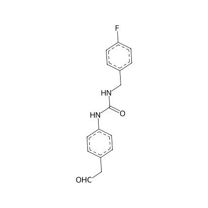 O=CCc1ccc(NC(=O)NCc2ccc(F)cc2)cc1